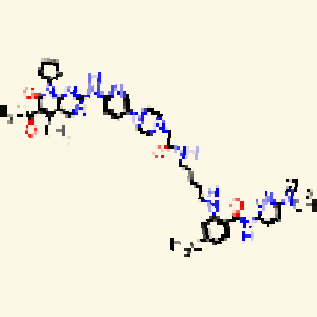 CC(=O)c1c(C)c2cnc(Nc3ccc(N4CCN(CC(=O)NCCCCCNc5cc(C)ccc5C(=O)Nc5ccc(N(C)C)nn5)CC4)cn3)nc2n(C2CCCC2)c1=O